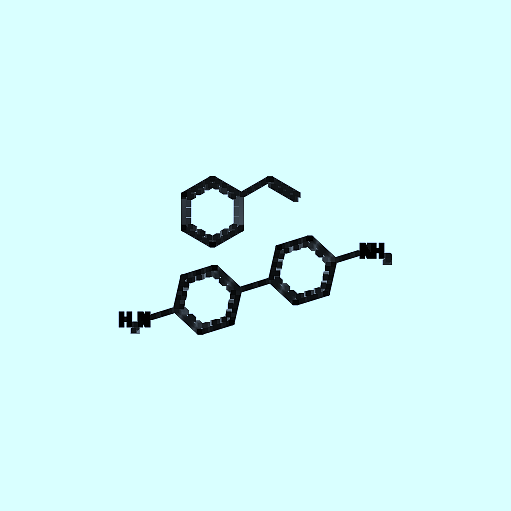 C=Cc1ccccc1.Nc1ccc(-c2ccc(N)cc2)cc1